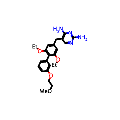 CCOc1cc(Cc2cnc(N)nc2N)cc(OCC)c1-c1cccc(OCCOC)c1